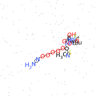 Cc1ncsc1-c1ccc(CNC(=O)[C@@H]2C[C@@H](O)CN2C(=O)[C@@H](NC(=O)C2(F)CC2)C(C)(C)C)c(OCCOCCOCCOCCOCCN2CCC(N)CC2)c1